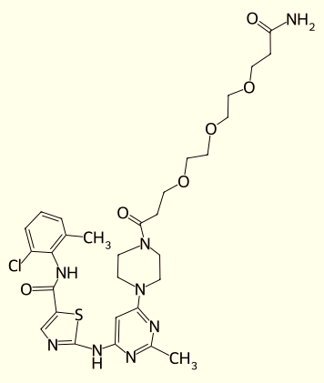 Cc1nc(Nc2ncc(C(=O)Nc3c(C)cccc3Cl)s2)cc(N2CCN(C(=O)CCOCCOCCOCCC(N)=O)CC2)n1